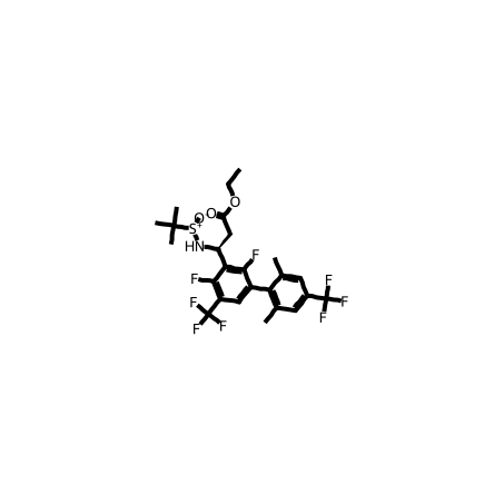 CCOC(=O)C[C@H](N[S+]([O-])C(C)(C)C)c1c(F)c(-c2c(C)cc(C(F)(F)F)cc2C)cc(C(F)(F)F)c1F